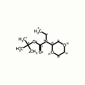 CCN(C(=O)OC(C)(C)C)C1COCCO1